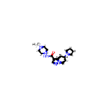 CN1CCN(NC(=O)c2cnn3ccc(N4CCCC4)cc23)CC1